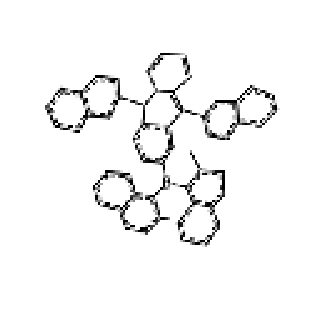 Cc1ccc2ccccc2c1B(c1ccc2c(c1)C(c1ccc3ccccc3c1)=C1C=CC=CC1C2c1ccc2ccccc2c1)c1c(C)ccc2ccccc12